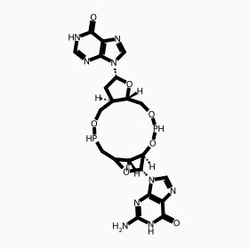 Nc1nc2c(ncn2[C@@H]2OC3CPOC[C@H]4C[C@H](n5cnc6c(=O)[nH]cnc65)O[C@@H]4COPO[C@@H]2[C@@H]3F)c(=O)[nH]1